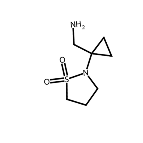 NCC1(N2CCCS2(=O)=O)CC1